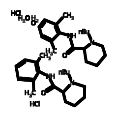 CCCCN1CCCCC1C(=O)Nc1c(C)cccc1C.CCCCN1CCCCC1C(=O)Nc1c(C)cccc1C.Cl.Cl.O.O